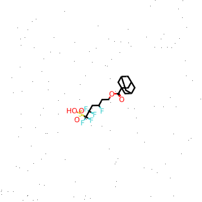 O=C(OCCC(F)CC(F)(F)C(F)(F)S(=O)(=O)O)C12CC3CC(CC(C3)C1)C2